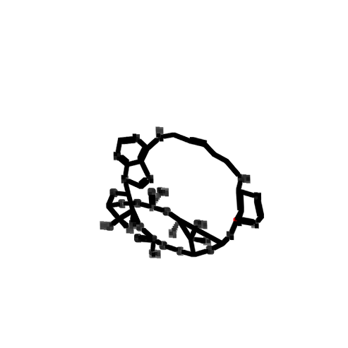 O=P1(S)OCC2OC3[C@H](O[P@@](=O)(S)OCC4OC([C@H](O1)[C@@H]4O)n1cnc4c(ncnc41)NC/C=C/CCNc1ncnc4c1ncn43)[C@@H]2O